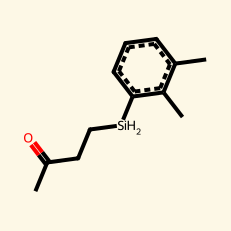 CC(=O)CC[SiH2]c1cccc(C)c1C